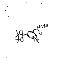 CNC(=O)Cc1cncc(B2OC(C)(C)C(C)(C)O2)c1